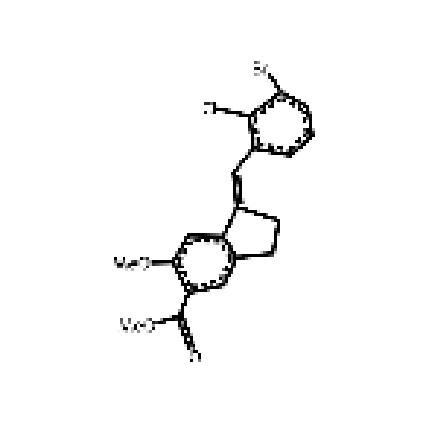 COC(=O)c1cc2c(cc1OC)C(=Cc1cccc(Br)c1Cl)CC2